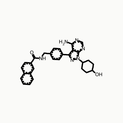 Nc1ncnc2c1c(-c1ccc(CNC(=O)c3ccc4ccccc4c3)cc1)nn2C1CCC(O)CC1